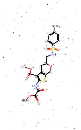 COc1ccc(S(=O)(=O)NCC2Cc3c(sc(NC(=O)C(=O)OC(C)(C)C)c3C(=O)OC(C)(C)C)CO2)cc1